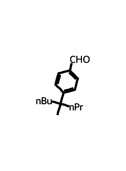 CCCCC(C)(CCC)c1ccc(C=O)cc1